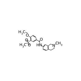 CCOc1ccc(C(=O)Nc2ccc3c(c2)CN(C)CC3)cc1S(C)(=O)=O